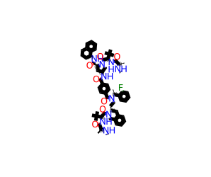 CN[C@@H](C)C(=O)N[C@H](C(=O)N1Cc2ccccc2C[C@H]1CCN(C(=O)c1ccc(C(=O)N[C@H]2C[C@@H](C(=O)N[C@@H]3CCCc4ccccc43)N(C(=O)[C@@H](NC(=O)[C@H](C)NC)C(C)(C)C)C2)cc1)[C@H](C)c1ccccc1F)C(C)(C)C